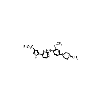 CCOC(=O)c1c[nH]c(-c2ccnc(Nc3ccc(N4CCN(C)CC4)cc3OC(F)(F)F)n2)c1